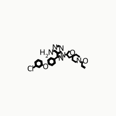 C=CC(=O)N1CCC2(CC1)CC(n1nc(-c3ccc(Oc4cccc(Cl)c4)cc3)c3c(N)ncnc31)CO2